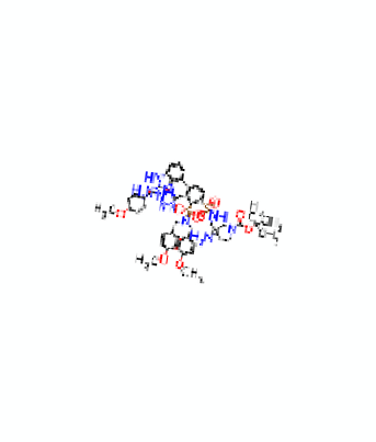 COc1ccc(CN(Cc2ccc(OC)cc2)S(=O)(=O)c2c(S(=O)(=O)NC[C@]3(N)CCN(C(=O)OC(C)(C)C)C3)ccc(-c3cccc4[nH]c(N)nc34)c2-c2nnn(Cc3ccc(OC)cc3)n2)cc1